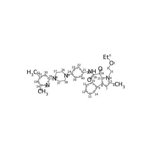 CCOCCn1c(C)cc(-c2ccccc2)c1C(=O)C(=O)Nc1ccc(N2CCN(c3cc(C)cc(C)n3)CC2)cc1